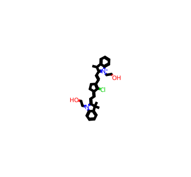 CC1C(/C=C/C2=C(Cl)C(=C/C=C3/N(CCO)c4ccccc4C3(C)C)/CC2)=[N+](CCO)c2ccccc21